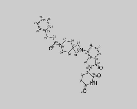 O=C1CCC(N2Cc3c(cccc3N3CC4(CCN(C(=O)CCc5ccccc5)CC4)C3)C2=O)C(=O)N1